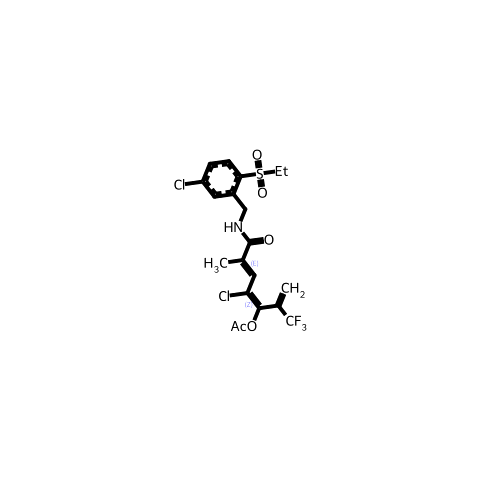 C=C(/C(OC(C)=O)=C(Cl)\C=C(/C)C(=O)NCc1cc(Cl)ccc1S(=O)(=O)CC)C(F)(F)F